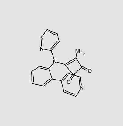 Nc1c(N(c2ccccn2)c2ccccc2-c2ccncc2)c(=O)c1=O